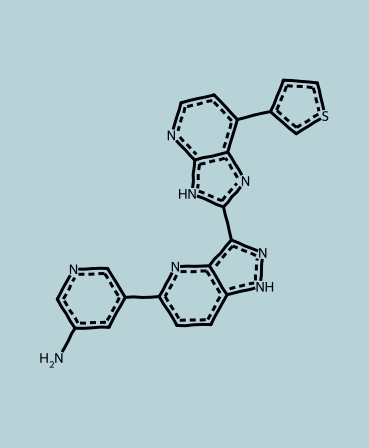 Nc1cncc(-c2ccc3[nH]nc(-c4nc5c(-c6ccsc6)ccnc5[nH]4)c3n2)c1